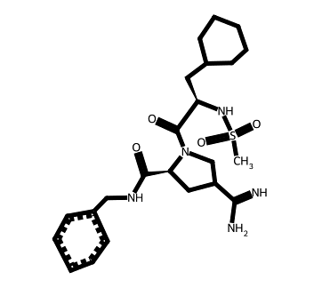 CS(=O)(=O)N[C@H](CC1CCCCC1)C(=O)N1CC(C(=N)N)C[C@H]1C(=O)NCc1ccccc1